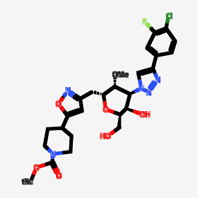 CO[C@@H]1[C@@H](n2cc(-c3ccc(Cl)c(F)c3)nn2)[C@@H](O)[C@@H](CO)O[C@@H]1Cc1cc(C2CCN(C(=O)OC(C)(C)C)CC2)on1